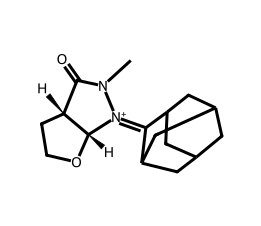 CN1C(=O)[C@H]2CCO[C@H]2[N+]1=C1C2CC3CC(C2)CC1C3